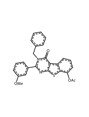 COc1cccc(-c2nc3sc4c(OC(C)=O)cccc4c3c(=O)n2Cc2ccccc2)c1